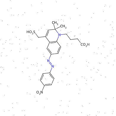 CC1(C)C=C(CS(=O)(=O)O)c2cc(/N=N/c3ccc([N+](=O)[O-])cc3)ccc2N1CCCC(=O)O